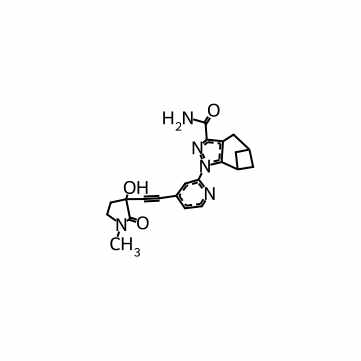 CN1CCC(O)(C#Cc2ccnc(-n3nc(C(N)=O)c4c3C3CC(C4)C3)c2)C1=O